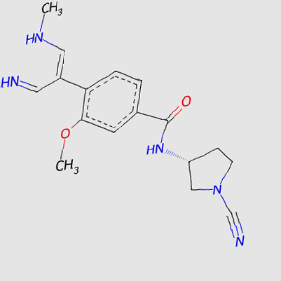 CN/C=C(\C=N)c1ccc(C(=O)N[C@@H]2CCN(C#N)C2)cc1OC